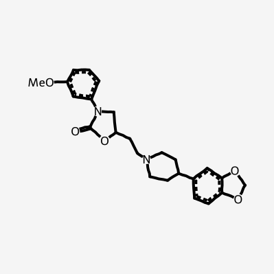 COc1cccc(N2CC(CCN3CCC(c4ccc5c(c4)OCO5)CC3)OC2=O)c1